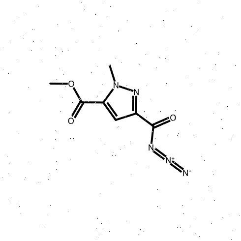 COC(=O)c1cc(C(=O)N=[N+]=[N-])nn1C